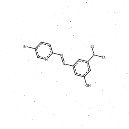 CCN(CC)c1cc(O)cc(N=Nc2ccc(Br)cn2)c1